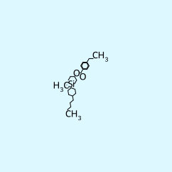 CCCCCC1CCC([Si@]2(C)CC[C@@H](OC(=O)c3ccc(CCC)cc3)CC2)CC1